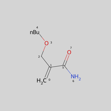 C=C(COCCCC)C(N)=O